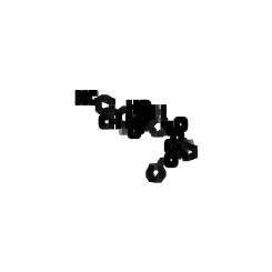 Cc1cc(C#N)ccc1C1=CCN(S(=O)(=O)CC2(C(=O)NO)CCN(C(=O)OC[C@H]3CCCN3C(=O)OCc3ccccc3)CC2)CC1